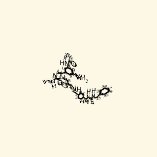 CC(C)Nc1ncc(-c2cc(N)cc(NC(=O)C(C)C)c2)n(CC(=O)NCc2ccc(C(=N)NC(=S)NCc3ccccc3)cc2)c1=O